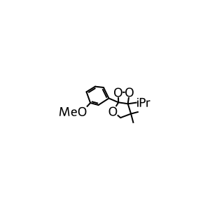 COc1cccc(C23OCC(C)(C)C2(C(C)C)OO3)c1